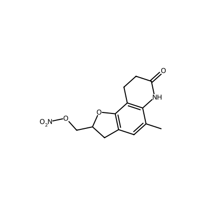 Cc1cc2c(c3c1NC(=O)CC3)OC(CO[N+](=O)[O-])C2